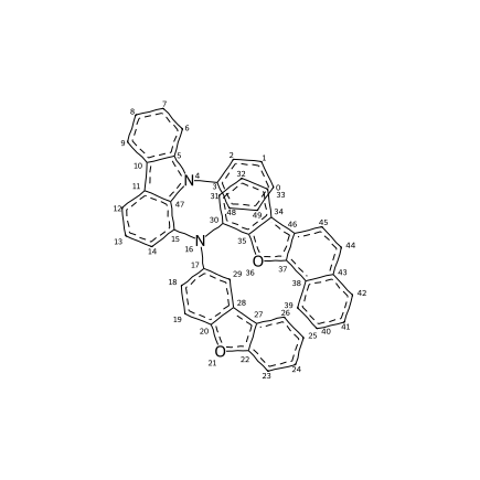 c1ccc(-n2c3ccccc3c3cccc(N(c4ccc5oc6ccccc6c5c4)c4cccc5c4oc4c6ccccc6ccc54)c32)cc1